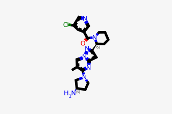 Cc1cn2nc([C@@H]3CCCCN3C(=O)c3cncc(Cl)c3)cc2nc1N1CC[C@H](N)C1